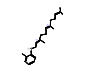 CC(C)=CCC/C(C)=C/CC/C(C)=C/CNc1ccccc1C